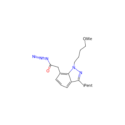 CCCC(C)c1nn(CCCCOC)c2c(CC(=O)N=[N+]=[N-])cccc12